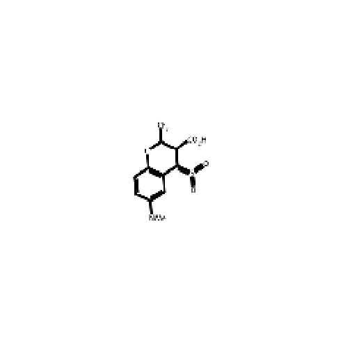 CNc1ccc2c(c1)C(=S(=O)=O)C(C(=O)O)C(C(F)(F)F)O2